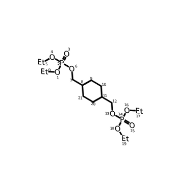 CCOP(=O)(OCC)OCC1CCC(COP(=O)(OCC)OCC)CC1